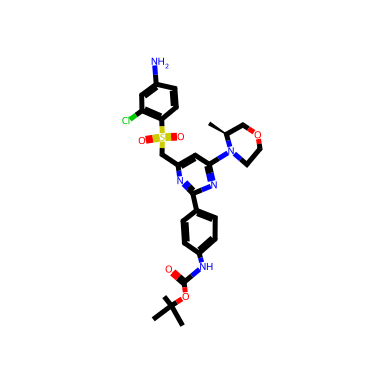 C[C@H]1COCCN1c1cc(CS(=O)(=O)c2ccc(N)cc2Cl)nc(-c2ccc(NC(=O)OC(C)(C)C)cc2)n1